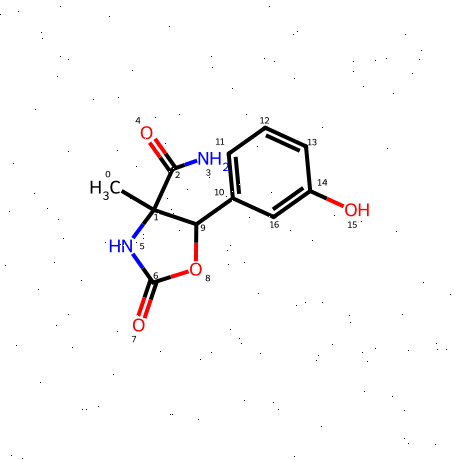 CC1(C(N)=O)NC(=O)OC1c1cccc(O)c1